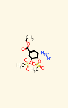 CCOC(=O)C1=C[C@H](N=[N+]=[N-])[C@@H](OS(C)(=O)=O)[C@H](OS(C)(=O)=O)C1